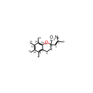 C/C(=C/C1(C)CCc2c(C)c(C)c(C)c(C)c2O1)[N+](=O)[O-]